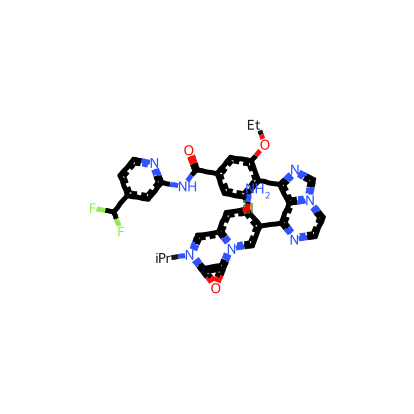 CCOc1cc(C(=O)Nc2cc(C(F)F)ccn2)cc(Cl)c1-c1ncn2ccnc(-c3cn4c5oc=5n(C(C)C)cc4cc3N)c12